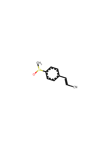 C[S+]([O-])c1ccc(C=CC#N)cc1